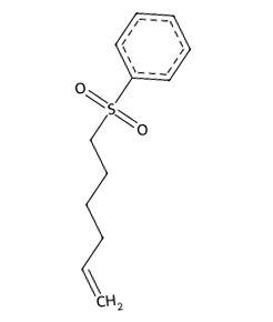 C=CCCCCS(=O)(=O)c1ccccc1